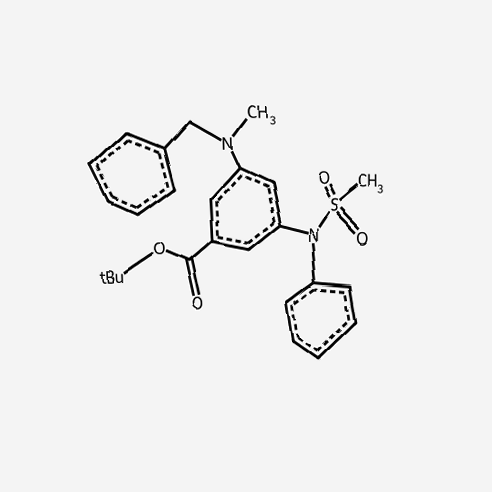 CN(Cc1ccccc1)c1cc(C(=O)OC(C)(C)C)cc(N(c2ccccc2)S(C)(=O)=O)c1